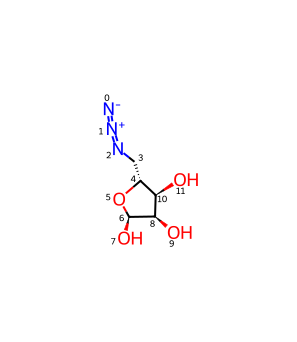 [N-]=[N+]=NC[C@H]1O[C@H](O)[C@H](O)[C@@H]1O